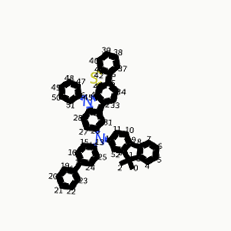 CC1(C)c2ccccc2-c2ccc(N(c3ccc(-c4ccccc4)cc3)c3ccc4c(c3)c3ccc5c6ccccc6sc5c3n4-c3ccccc3)cc21